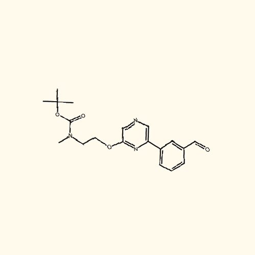 CN(CCOc1cncc(-c2cccc(C=O)c2)n1)C(=O)OC(C)(C)C